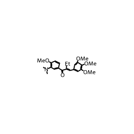 CC/C(=C\c1cc(OC)c(OC)c(OC)c1)C(=O)c1ccc(OC)c(N(C)C)c1